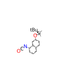 CC(C)(C)[Si](C)(C)Oc1ccc2cccc(N=C=O)c2c1